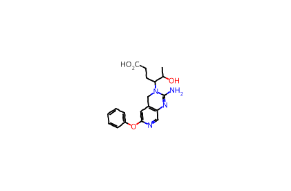 CC(O)C(CCC(=O)O)N1Cc2cc(Oc3ccccc3)ncc2N=C1N